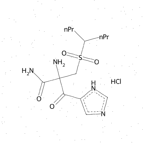 CCCC(CCC)S(=O)(=O)CC(N)(C(N)=O)C(=O)c1cnc[nH]1.Cl